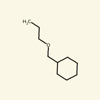 [CH2]CCOCC1CCCCC1